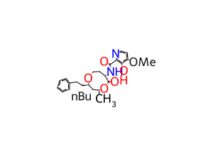 CCCC[C@H]1[C@H](C)OC(=O)[C@@H](NC(=O)c2nccc(OC)c2O)CCO[C@@H]1CCc1ccccc1